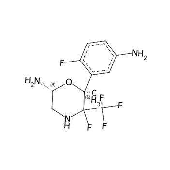 C[C@@]1(c2cc(N)ccc2F)O[C@@H](N)CNC1(F)C(F)(F)F